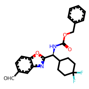 O=Cc1ccc2oc([C@@H](NC(=O)OCc3ccccc3)C3CCC(F)(F)CC3)nc2c1